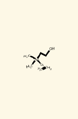 C=C.C[N+](C)(C)CCO